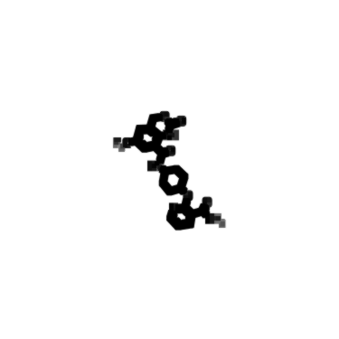 NC(=O)c1cccnc1OC1CCC(NC(=O)c2cc(C(F)(F)F)cc3c2NC(=O)OC3)CC1